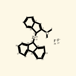 CP(C)C1=Cc2ccccc2[CH]1[Zr+2][CH]1c2ccccc2-c2ccccc21.[F-].[F-]